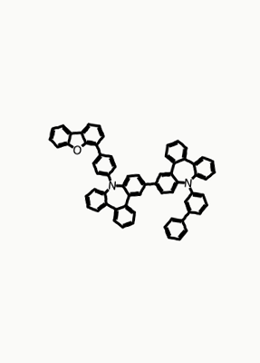 c1ccc(-c2cccc(N3c4ccccc4-c4ccccc4-c4cc(-c5ccc6c(c5)-c5ccccc5-c5ccccc5N6c5ccc(-c6cccc7c6oc6ccccc67)cc5)ccc43)c2)cc1